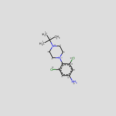 CC(C)(C)N1CCN(c2c(Cl)cc(N)cc2Cl)CC1